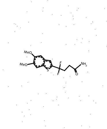 COc1cc2cc(C(F)(F)CCC(N)=O)sc2cc1OC